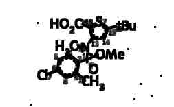 COP(=O)(c1ccc(Cl)cc1C)N(C)c1cc(C(C)(C)C)sc1C(=O)O